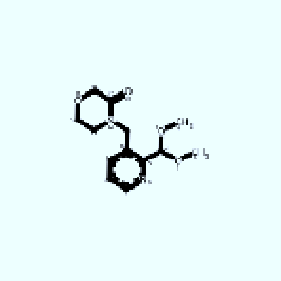 COC(OC)c1n[c]ccc1CN1CCOCC1=O